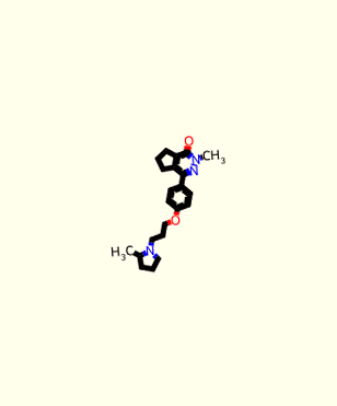 CC1CCCN1CCCOc1ccc(-c2nn(C)c(=O)c3c2CCC3)cc1